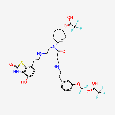 O=C(CCNCCc1cccc(OC(F)F)c1)N(CCNCCc1ccc(O)c2[nH]c(=O)sc12)C1CCCCCC1.O=C(O)C(F)(F)F.O=C(O)C(F)(F)F